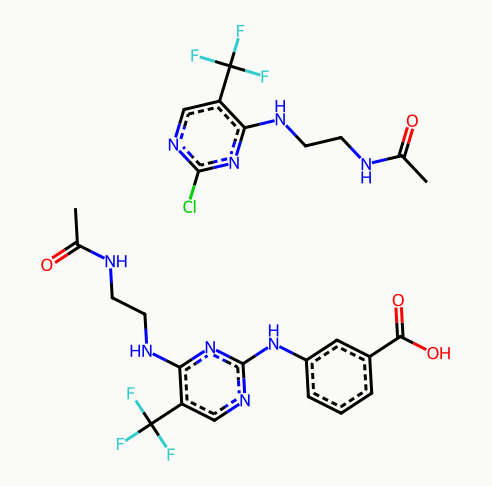 CC(=O)NCCNc1nc(Cl)ncc1C(F)(F)F.CC(=O)NCCNc1nc(Nc2cccc(C(=O)O)c2)ncc1C(F)(F)F